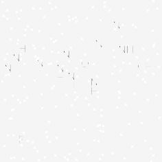 Cc1ccc(NC(=O)NNc2cc(-c3ccc(F)cc3)c3cnn(C)c3n2)cc1Nc1nccc(-c2cccnc2)n1